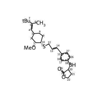 CO[C@@H]1CC(/C=C(\C)C(C)(C)C)CC[C@@H]1SC/C=C/c1ccc(BC2CCOC2=O)cc1